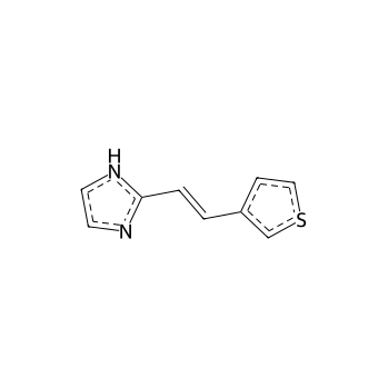 C(=Cc1ncc[nH]1)c1ccsc1